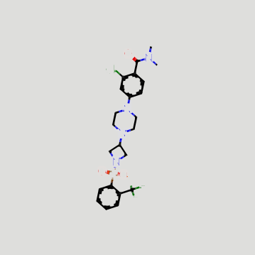 CN(C)C(=O)c1ccc(N2CCN(C3CN(S(=O)(=O)c4ccccc4C(F)(F)F)C3)CC2)cc1Cl